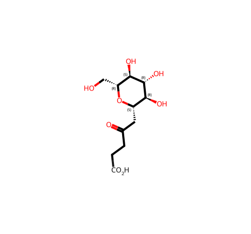 O=C(O)CCC(=O)C[C@@H]1O[C@H](CO)[C@@H](O)[C@H](O)[C@H]1O